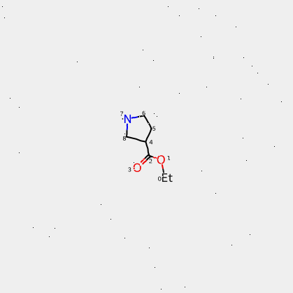 CCOC(=O)C1CC[N]C1